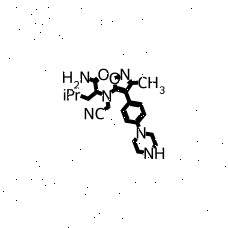 Cc1noc(N(CC#N)C(CC(C)C)C(N)=O)c1-c1ccc(N2CCNCC2)cc1